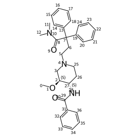 CO[C@H]1CN(CCC(C(=O)N(C)C)(c2ccccc2)c2ccccc2)CC[C@@H]1NC(=O)c1ccccc1